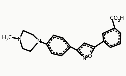 CN1CCN(c2ccc(-c3cc(-c4cccc(C(=O)O)c4)on3)cc2)CC1